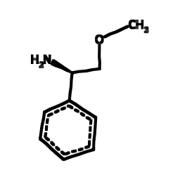 COC[C@H](N)c1ccccc1